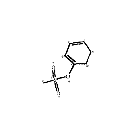 CS(=O)(=O)OC1=CC=CCC1